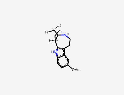 CC[C@@H](C(C)C)C1[C@H]2CC[N@]1CCc1c2[nH]c2ccc(OC(C)=O)cc12